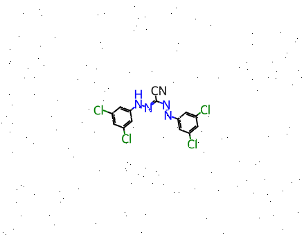 N#CC(N=Nc1cc(Cl)cc(Cl)c1)=NNc1cc(Cl)cc(Cl)c1